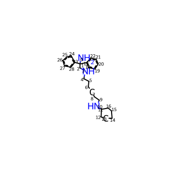 NC(CNCCCCCCNC1CCCCC1)(c1ccccc1)c1ccccc1